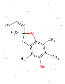 CCC/C=C\C1(C)Cc2c(C)c(O)c(C)c(C)c2O1